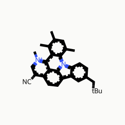 Cc1cc(C)c2c(c1C)c1c3c(ccc4c5cc(CC(C)(C)C)ccc5n2c43)c(C#N)c[n+]1C